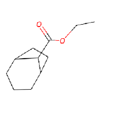 CCOC(=O)C1C2CCCC1CC2